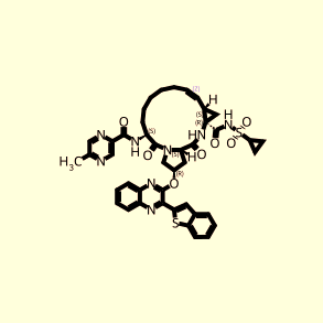 Cc1cnc(C(=O)N[C@H]2CCCCC/C=C\[C@@H]3C[C@@]3(C(=O)NS(=O)(=O)C3CC3)NC(=O)[C@@H]3C[C@@H](Oc4nc5ccccc5nc4-c4cc5ccccc5s4)CN3C2=O)cn1